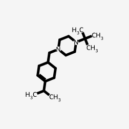 CC(C)C1=CCC(CN2CCN(C(C)(C)C)CC2)CC1